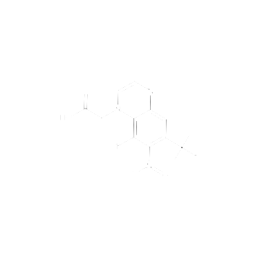 O=C(O)CN1C=CNc2cc(C(F)(F)F)c([N+](=O)[O-])c(Cl)c21